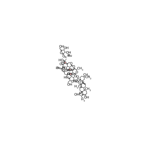 CC[C@H](C)[C@H](C[C@H](O)CC(=O)N[C@H]1C(CO)O[C@@H](OC(=O)[C@]23CCC(C)(C)CC2C2=CCC4C5(C)CC[C@H](O)[C@](C)(C=O)[C@@H]5CC[C@]4(C)[C@]2(C)CC3O)C(O[C@@H]2OC(C)[C@H](O[C@@H]3OC[C@@H](O)C(O)C3O)C(O)C2O)C1O)NC(=O)C[C@@H](O)C[C@H](O[C@@H]1O[C@@H](CO)C(O)C1O)[C@@H](C)CC